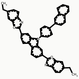 CCc1ccc2nc(-c3ccc4c5ccc(-c6nc7ccc(CC)cc7o6)cc5n(-c5ccc(-c6ccc7ccccc7c6)cc5)c4c3)oc2c1